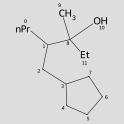 CCCC(CC1CCCC1)C(C)(O)CC